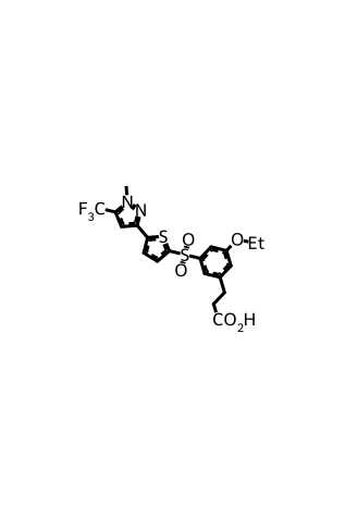 CCOc1cc(CCC(=O)O)cc(S(=O)(=O)c2ccc(-c3cc(C(F)(F)F)n(C)n3)s2)c1